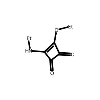 CCNc1c(OCC)c(=O)c1=O